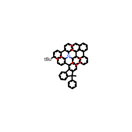 CC(C)(C)c1ccc(-c2ccccc2N(c2ccccc2-c2cccc3c2-c2ccccc2C3(C)c2ccccc2)c2ccccc2-c2cccc3cccc(-c4ccccc4)c23)cc1